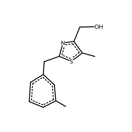 Cc1cccc(Cc2nc(CO)c(C)s2)c1